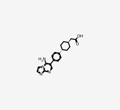 Nc1c(-c2ccc([C@H]3CC[C@H](CC(=O)O)CC3)cc2)cnc2nccn12